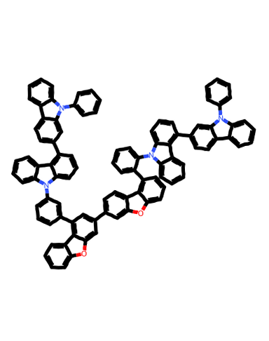 c1ccc(-n2c3ccccc3c3ccc(-c4cccc5c4c4ccccc4n5-c4cccc(-c5cc(-c6ccc7c(c6)oc6cccc(-c8ccccc8-n8c9ccccc9c9c(-c%10ccc%11c%12ccccc%12n(-c%12ccccc%12)c%11c%10)cccc98)c67)cc6oc7ccccc7c56)c4)cc32)cc1